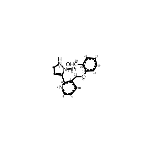 CC(C)N1NCC=C1c1ncccc1COc1ccccc1C=O